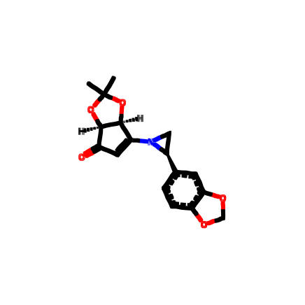 CC1(C)O[C@@H]2C(=O)C=C(N3C[C@H]3c3ccc4c(c3)OCO4)[C@@H]2O1